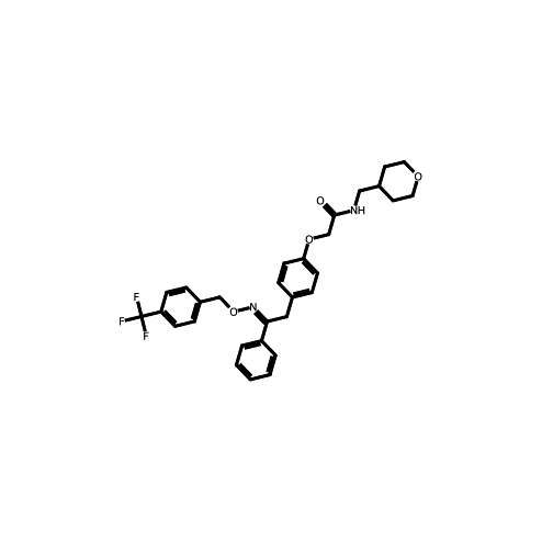 O=C(COc1ccc(CC(=NOCc2ccc(C(F)(F)F)cc2)c2ccccc2)cc1)NCC1CCOCC1